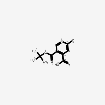 CC(C)(C)OC(=O)c1cnc(Cl)cc1C(=O)O